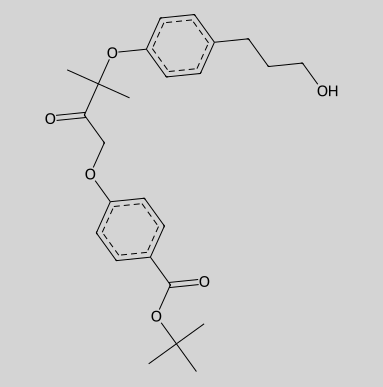 CC(C)(C)OC(=O)c1ccc(OCC(=O)C(C)(C)Oc2ccc(CCCO)cc2)cc1